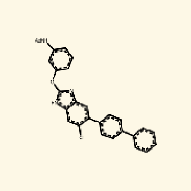 CC(=O)Nc1cccc(Oc2nc3cc(-c4ccc(-c5ccccc5)cc4)c(Cl)cc3[nH]2)c1